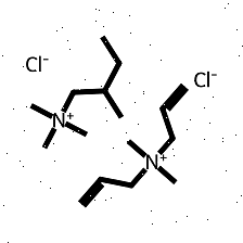 C=CC[N+](C)(C)CC=C.CCC(C)C[N+](C)(C)C.[Cl-].[Cl-]